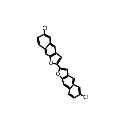 Clc1ccc2cc3oc(-c4cc5cc6cc(Cl)ccc6cc5o4)cc3cc2c1